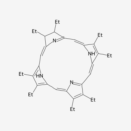 CCC1=C(CC)c2cc3[nH]c(cc4nc(cc5[nH]c(cc1n2)c(CC)c5CC)C(CC)C4CC)c(CC)c3CC